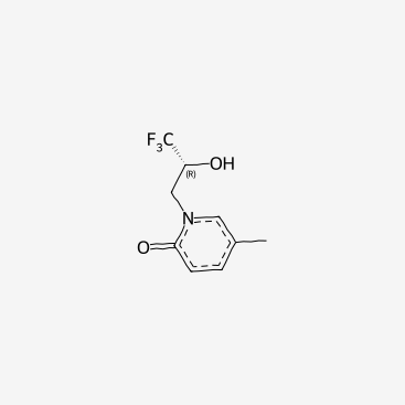 Cc1ccc(=O)n(C[C@@H](O)C(F)(F)F)c1